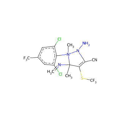 C=NC1(C)C(SC(F)(F)F)=C(C#N)N(N)[N+]1(C)c1c(Cl)cc(C(F)(F)F)cc1Cl